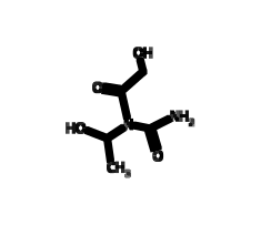 CC(O)N(C(N)=O)C(=O)CO